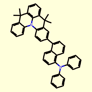 CC1(C)c2ccccc2N2c3ccc(-c4cccc5c(N(c6ccccc6)c6ccccc6)cccc45)cc3C(C)(C)c3cccc1c32